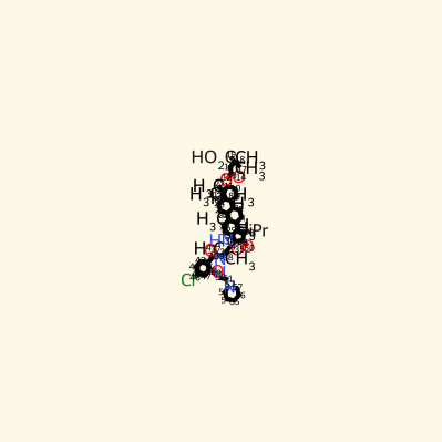 CC(C)C1=C2[C@H]3CC[C@@H]4[C@@]5(C)CC[C@H](OC(=O)CC(C)(C)C(=O)O)C(C)(C)[C@@H]5CC[C@@]4(C)[C@]3(C)CC[C@@]2(NC(=O)C(C)(C)NC(=O)c2ccc(Cl)cc2OCCN2CCCCC2)CC1=O